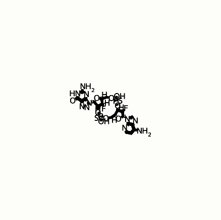 Nc1nc2c(nnn2[C@@H]2O[C@@H]3COP(O)(=S)O[C@H]4[C@H](F)[C@H](n5cnc6c(N)ccnc65)O[C@@H]4COP(O)(=S)O[C@@H]2[C@@H]3F)c(=O)[nH]1